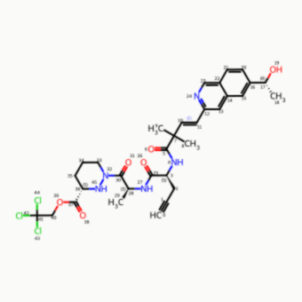 C#CC[C@H](NC(=O)C(C)(C)/C=C/c1cc2cc([C@@H](C)O)ccc2cn1)C(=O)N[C@@H](C)C(=O)N1CCC[C@@H](C(=O)OCC(Cl)(Cl)Cl)N1